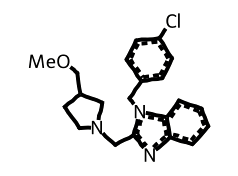 COCC1CCN(Cc2nc3ccccc3n2Cc2ccc(Cl)cc2)C1